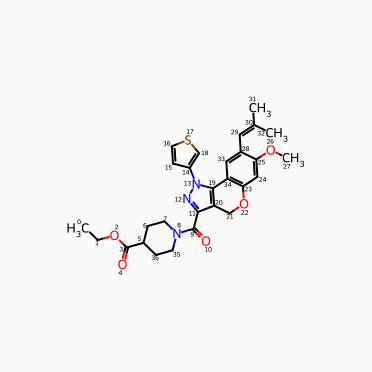 CCOC(=O)C1CCN(C(=O)c2nn(-c3ccsc3)c3c2COc2cc(OC)c(C=C(C)C)cc2-3)CC1